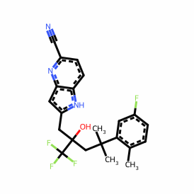 Cc1ccc(F)cc1C(C)(C)CC(O)(Cc1cc2nc(C#N)ccc2[nH]1)C(F)(F)F